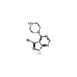 Brc1n[nH]c2ncnc(N3CCNCC3)c12